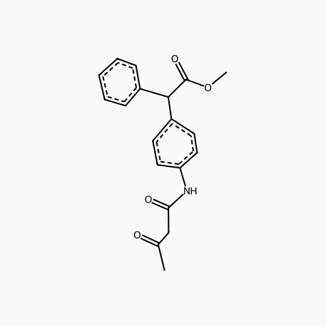 COC(=O)C(c1ccccc1)c1ccc(NC(=O)CC(C)=O)cc1